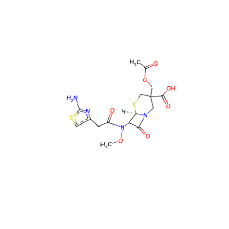 CON(C(=O)Cc1csc(N)n1)C1C(=O)N2CC(COC(C)=O)(C(=O)O)CS[C@H]12